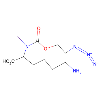 [N-]=[N+]=NCCOC(=O)N(I)C(CCCCN)C(=O)O